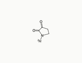 [2H]N1CCC(=O)C1=O